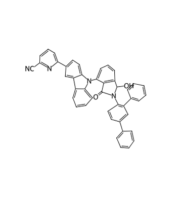 N#Cc1cccc(-c2ccc3c(c2)c2ccccc2n3-c2cccc3c2C(=O)N(c2ccc(-c4ccccc4)cc2-c2ccccc2)C3O)n1